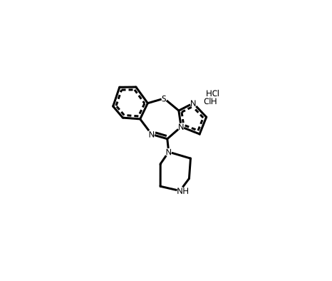 Cl.Cl.c1ccc2c(c1)N=C(N1CCNCC1)n1ccnc1S2